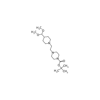 COC(OC)C1CCN(CCN2CCN(C(=O)OC(C)(C)C)CC2)CC1